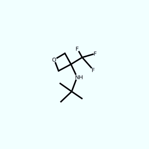 CC(C)(C)NC1(C(F)(F)F)COC1